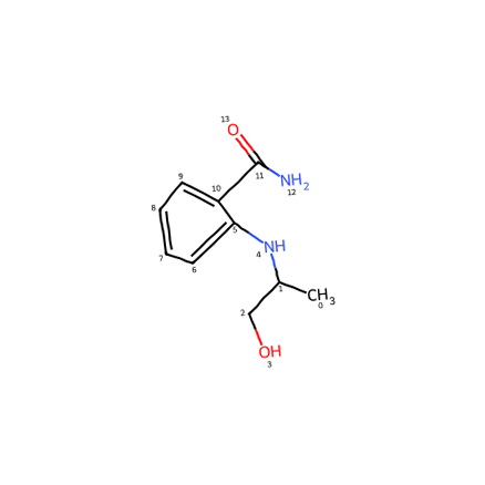 CC(CO)Nc1ccccc1C(N)=O